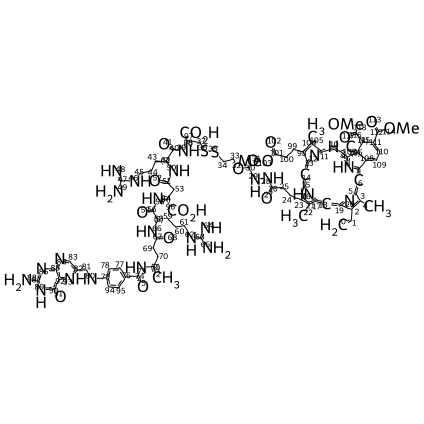 C=CC1=C(C)c2cc3[nH]c(cc4nc(cc5[nH]c(cc1n2)c(C)c5CCC(=O)NNC(=O)OCCSSC[C@H](NC(=O)[C@H](CCCNC(=N)N)NC(=O)C[C@@H](NC(=O)[C@H](CCCNC(=N)N)NC(=O)CC[C@@H](C)NC(=O)c1ccc(NCc2cnc5nc(N)[nH]c(=O)c5n2)cc1)C(=O)O)C(=O)O)C(CCC(=O)OC)=C4C)[C@]1(C)C3=CC=C(C(=O)OC)[C@@H]1C(=O)OC